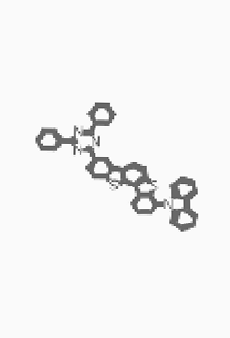 c1ccc(-c2nc(-c3ccccc3)nc(-c3ccc4sc5c(ccc6sc7c(-n8c9ccccc9c9ccccc98)cccc7c65)c4c3)n2)cc1